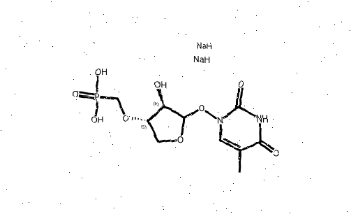 Cc1cn(OC2OC[C@H](OCP(=O)(O)O)[C@H]2O)c(=O)[nH]c1=O.[NaH].[NaH]